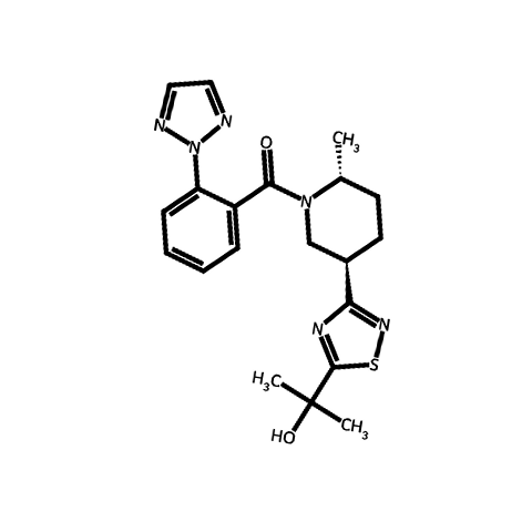 C[C@@H]1CC[C@@H](c2nsc(C(C)(C)O)n2)CN1C(=O)c1ccccc1-n1nccn1